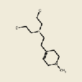 CN1CC=C(CCN(CCCl)CCCl)CC1